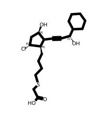 O=C(O)CSCCCC[C@@H]1C(C#C[C@@H](O)C2CCCCC2)[C@H](O)C[C@H]1Cl